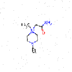 CCN1CC[N+](C)(CC(N)=O)CC1